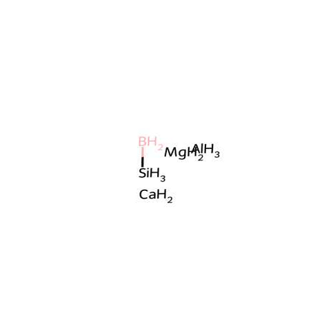 B[SiH3].[AlH3].[CaH2].[MgH2]